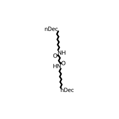 CCCCCCCCCCCCCCCCCCNC(=O)CCC(=O)NCCCCCCCCCCCCCCCCCC